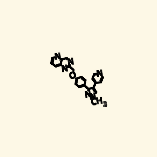 Cn1cc(-c2ccncc2)c(-c2ccc(OCc3ncc4ncccc4n3)cc2)n1